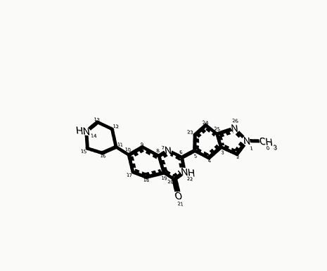 Cn1cc2cc(-c3nc4cc(C5CCNCC5)ccc4c(=O)[nH]3)ccc2n1